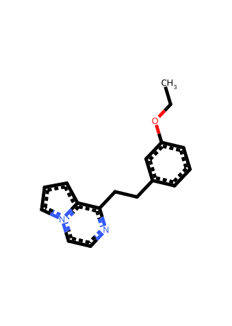 CCOc1cccc(CCc2nccn3cccc23)c1